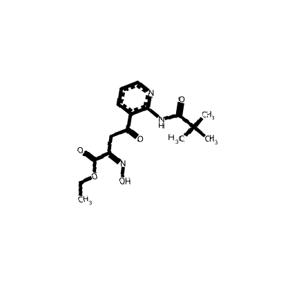 CCOC(=O)C(CC(=O)c1cccnc1NC(=O)C(C)(C)C)=NO